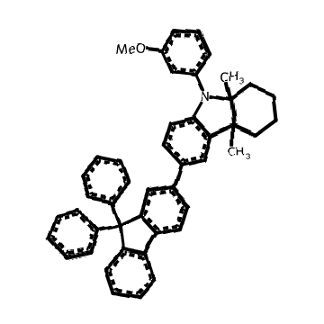 COc1cccc(N2c3ccc(-c4ccc5c(c4)C(c4ccccc4)(c4ccccc4)c4ccccc4-5)cc3C3(C)CCCCC23C)c1